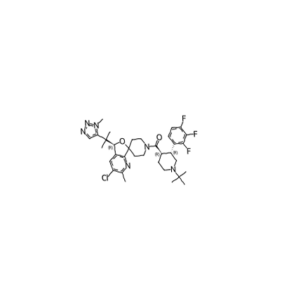 Cc1nc2c(cc1Cl)[C@@H](C(C)(C)c1cnnn1C)OC21CCN(C(=O)[C@@H]2CCN(C(C)(C)C)C[C@H]2c2ccc(F)c(F)c2F)CC1